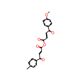 COc1ccc(C(=O)C=CC(=O)OC(=O)C=CC(=O)c2ccc(C)cc2)cc1